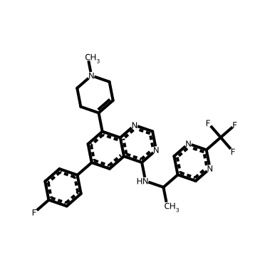 CC(Nc1ncnc2c(C3=CCN(C)CC3)cc(-c3ccc(F)cc3)cc12)c1cnc(C(F)(F)F)nc1